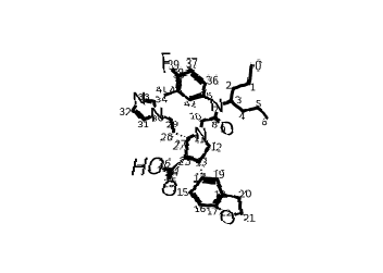 CCCC(CCC)N(C(=O)CN1C[C@H](c2ccc3c(c2)CCO3)[C@@H](C(=O)O)[C@@H]1CCn1ccnc1)c1ccc(F)c(C)c1